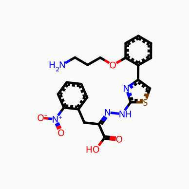 NCCCOc1ccccc1-c1csc(N/N=C(/Cc2ccccc2[N+](=O)[O-])C(=O)O)n1